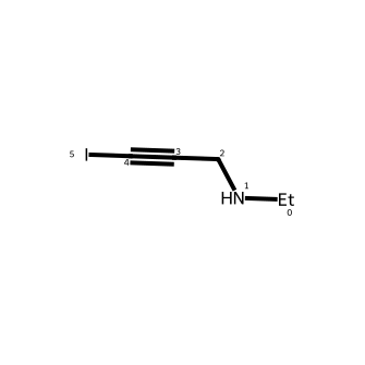 CCNCC#CI